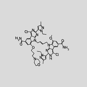 CCn1nc(C)cc1-c1nc(Cl)c2c3cc(C(N)=O)cc(OCCCN4CCOCC4)c3n(C/C=C/Cn3c4c(c5cc(C(N)=O)cc(OC)c53)=C(Cl)NC(c3cc(C)nn3CC)N=4)c2n1